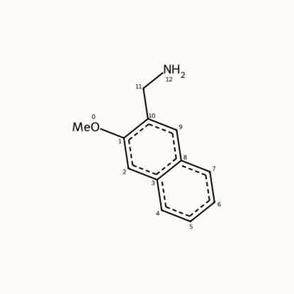 COc1cc2ccccc2cc1CN